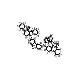 c1ccc(-c2nnc(-c3ccccc3)n2-c2cccc3c2c2ccccc2n3-c2ccc3sc4ccc(-n5c6ccccc6c6c7oc8ccccc8c7ccc65)cc4c3c2)cc1